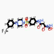 O=C(CC(=O)Nc1ccc(S(=O)(=O)N2CCN(c3cccc(C(F)(F)F)c3)CC2)cc1)NO